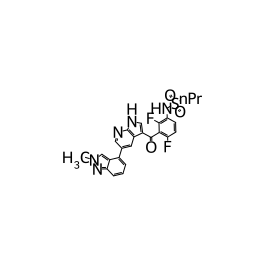 CCCS(=O)(=O)Nc1ccc(F)c(C(=O)c2c[nH]c3ncc(-c4cccc5nn(C)cc45)cc23)c1F